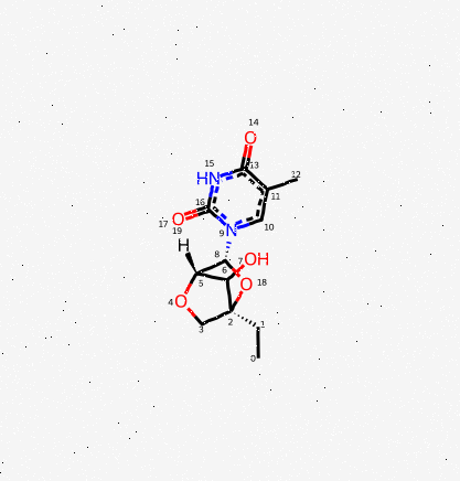 CC[C@]12CO[C@@H](C1O)[C@H](n1cc(C)c(=O)[nH]c1=O)O2